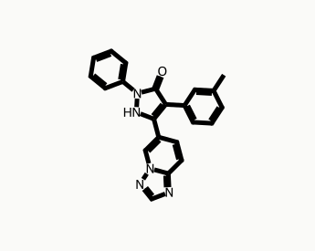 Cc1cccc(-c2c(-c3ccc4ncnn4c3)[nH]n(-c3ccccc3)c2=O)c1